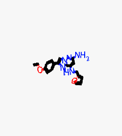 CCOc1ccc(-c2cn3nc(N)cc(NCc4ccco4)c3n2)cc1